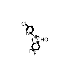 O=CN1CCC(F)(F)C[C@H]1CNc1ccc(Cl)cn1